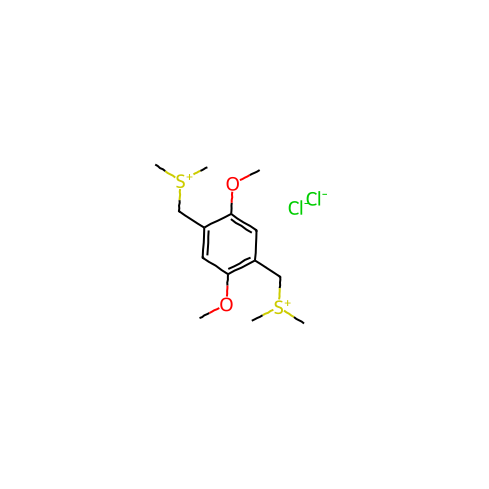 COc1cc(C[S+](C)C)c(OC)cc1C[S+](C)C.[Cl-].[Cl-]